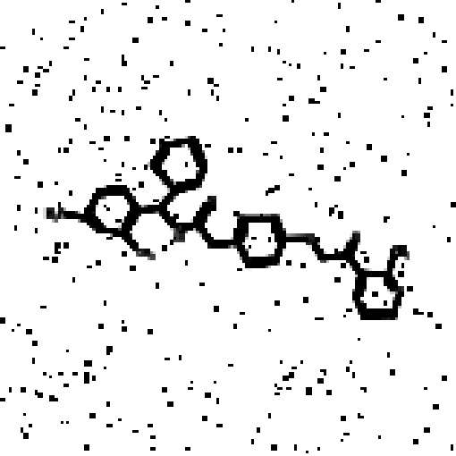 Cc1ccc(C(NC(=O)Cc2ccc(OCC(=O)c3cccnc3C)cc2)c2ccccc2)c(C)c1